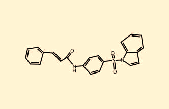 O=C(C=Cc1ccccc1)Nc1ccc(S(=O)(=O)n2ccc3ccccc32)cc1